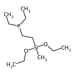 CCO[Si](C)(CCP(CC)CC)OCC